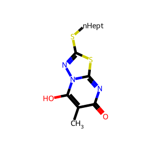 CCCCCCCSc1nn2c(O)c(C)c(=O)nc2s1